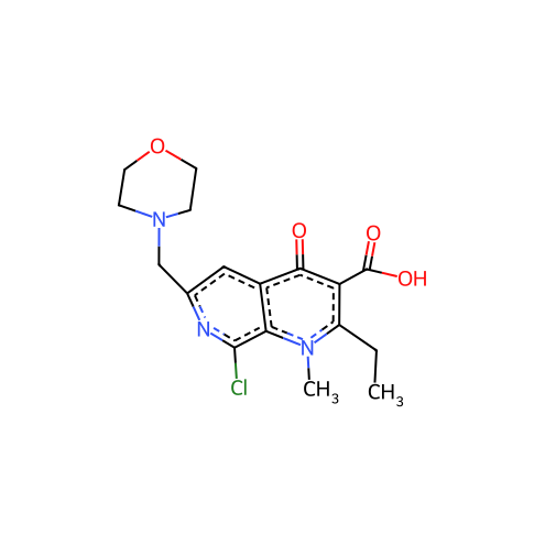 CCc1c(C(=O)O)c(=O)c2cc(CN3CCOCC3)nc(Cl)c2n1C